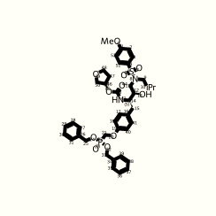 COc1ccc(S(=O)(=O)N(CC(C)C)C[C@@H](O)[C@H](Cc2ccc(OCP(=O)(OCc3ccccc3)OCc3ccccc3)cc2)NC(=O)O[C@@H]2CCOC2)cc1